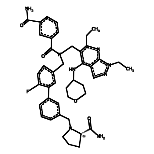 CCc1nc2c(cnn2CC)c(NC2CCOCC2)c1CN(Cc1ccc(F)c(-c2cccc(CN3CCC[C@H]3C(N)=O)c2)c1)C(=O)c1cccc(C(N)=O)c1